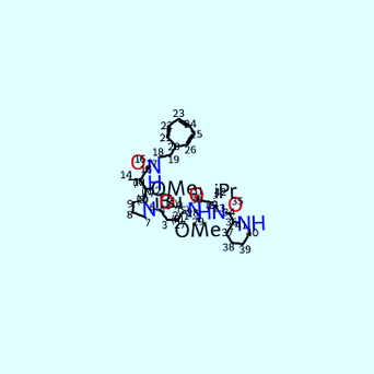 CC[C@H](C)[C@@H]([C@@H](CC(=O)N1CCC[C@H]1[C@H](OC)[C@@H](C)C(=O)NCCC1C=CC=CC=C1)OC)N(C)C(=O)[C@@H](NC(=O)C1CCCCN1)C(C)C